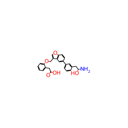 N[C@@H](O)Cc1cccc(-c2ccc3occ(COc4ccccc4CC(=O)O)c3c2)c1